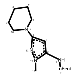 CCCCCNc1cc(N2CCCCC2)nn1C